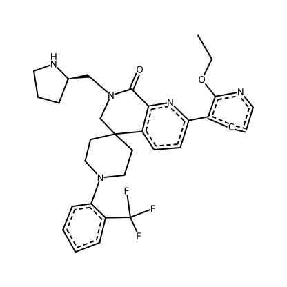 CCOc1ncccc1-c1ccc2c(n1)C(=O)N(C[C@H]1CCCN1)CC21CCN(c2ccccc2C(F)(F)F)CC1